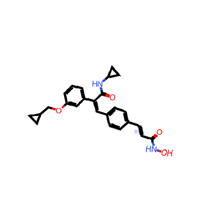 O=C(/C=C/c1ccc(C=C(C(=O)NC2CC2)c2cccc(OCC3CC3)c2)cc1)NO